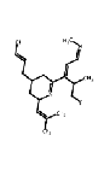 CC/C=C/CC1CC(/C(=C/C=N\C)C(C)CF)=NC(/C=C(\C)C(F)(F)F)C1